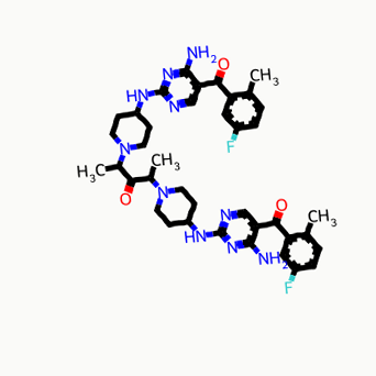 Cc1ccc(F)cc1C(=O)c1cnc(NC2CCN(C(C)C(=O)C(C)N3CCC(Nc4ncc(C(=O)c5cc(F)ccc5C)c(N)n4)CC3)CC2)nc1N